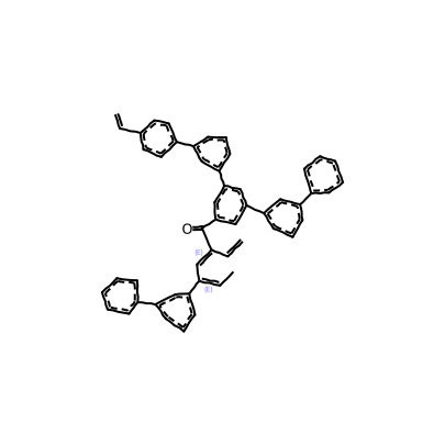 C=C/C(=C\C(=C/C)c1cccc(-c2ccccc2)c1)C(=O)c1cc(-c2cccc(-c3ccccc3)c2)cc(-c2cccc(-c3ccc(C=C)cc3)c2)c1